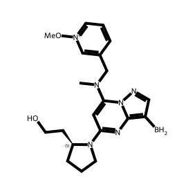 Bc1cnn2c(N(C)Cc3ccc[n+](OC)c3)cc(N3CCC[C@H]3CCO)nc12